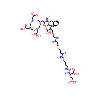 O=C(O)CC[C@H](NC(=O)NCCCCCNC(=O)CCCCCCC(=O)NCCCCC(NC(=O)C(Cc1ccccc1)NC(=O)CN1CCN(CC(=O)O)CCN(CC(=O)O)CCN(CC(=O)O)CC1)C(=O)O)C(=O)O